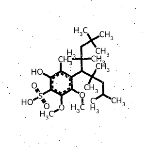 COc1c(OC)c(S(=O)(=O)O)c(O)c(C)c1C(C(C)(C)CC(C)C)C(C)(C)CC(C)(C)C